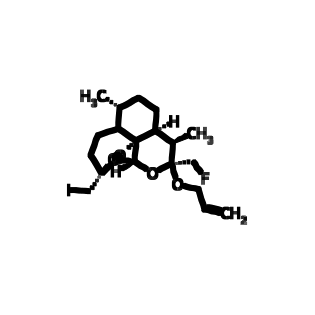 C=CCO[C@@]1(CF)O[C@@H]2O[C@]3(CI)CCC4[C@H](C)CC[C@@H]([C@H]1C)[C@]42OO3